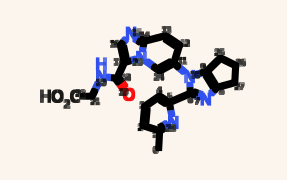 Cc1cccc(-c2nc3c(n2-c2ccc4ncc(C(=O)NCC(=O)O)n4c2)CCC3)n1